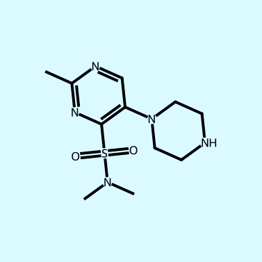 Cc1ncc(N2CCNCC2)c(S(=O)(=O)N(C)C)n1